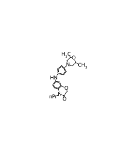 [CH2]CCN1C(=O)COc2cc(Nc3ccc(N4CC(C)OC(C)C4)cc3)ccc21